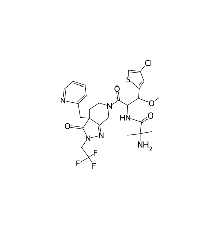 COC(c1cc(Cl)cs1)C(NC(=O)C(C)(C)N)C(=O)N1CCC2(Cc3ccccn3)C(=O)N(CC(F)(F)F)N=C2C1